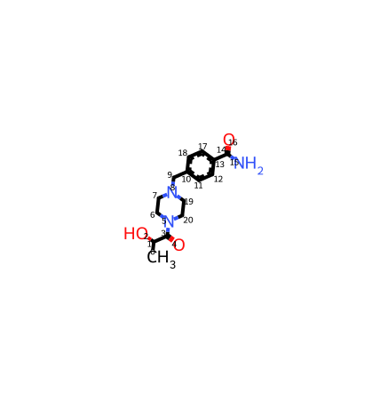 CC(O)C(=O)N1CCN(Cc2ccc(C(N)=O)cc2)CC1